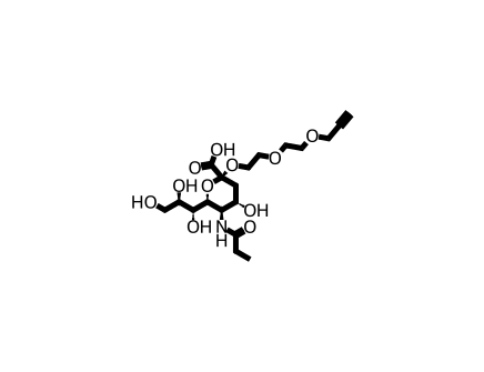 C#CCOCCOCCO[C@@]1(C(=O)O)C[C@H](O)[C@@H](NC(=O)CC)[C@H]([C@H](O)[C@H](O)CO)O1